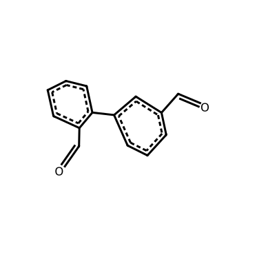 O=Cc1cccc(-c2ccccc2C=O)c1